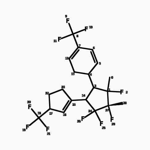 CC1(F)C(C2C=CC(C(F)(F)F)=CC2)C(C2=CC(C(F)(F)F)CC2)C(F)(F)[C@@]1(C)F